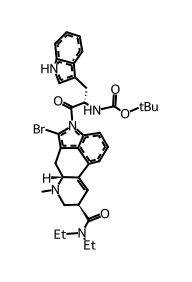 CCN(CC)C(=O)[C@@H]1C=C2c3cccc4c3c(c(Br)n4C(=O)[C@H](Cc3c[nH]c4ccccc34)NC(=O)OC(C)(C)C)C[C@H]2N(C)C1